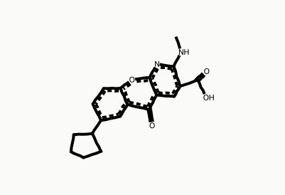 CNc1nc2oc3ccc(C4CCCC4)cc3c(=O)c2cc1C(=O)O